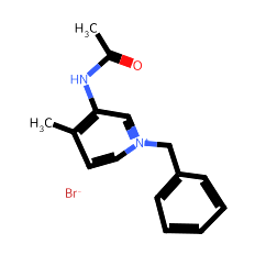 CC(=O)Nc1c[n+](Cc2ccccc2)ccc1C.[Br-]